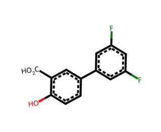 O=C(O)c1cc(-c2cc(F)cc(F)c2)ccc1O